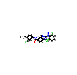 Cc1ccc(NC(=O)c2ccc3[nH]c(NC4C(Cl)CCCC4Cl)nc3c2)cc1Cl